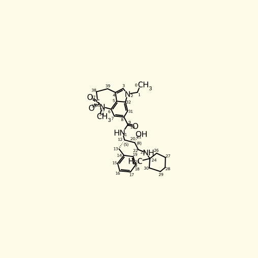 CCn1cc2c3c(cc(C(=O)N[C@@H](Cc4ccccc4)[C@H](O)CNC4(C)CCCCC4)cc31)N(C)S(=O)(=O)CC2